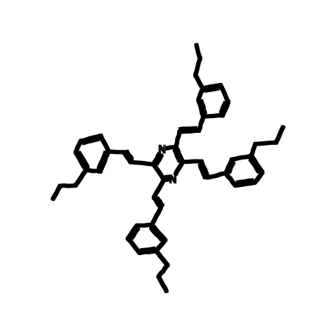 CCCc1cccc(C=Cc2nc(C=Cc3cccc(CCC)c3)c(C=Cc3cccc(CCC)c3)nc2C=Cc2cccc(CCC)c2)c1